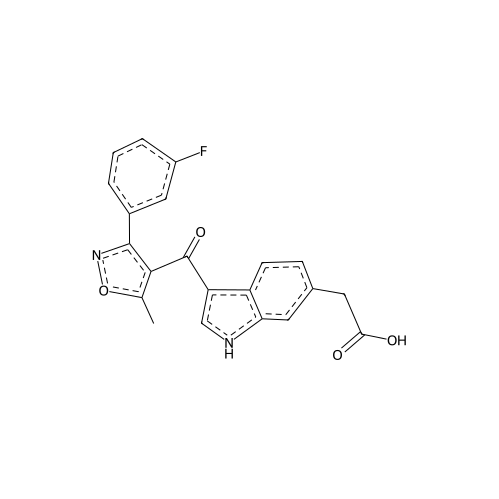 Cc1onc(-c2cccc(F)c2)c1C(=O)c1c[nH]c2cc(CC(=O)O)ccc12